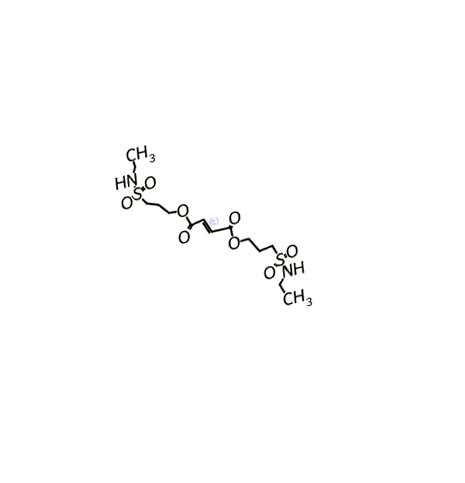 CCNS(=O)(=O)CCCOC(=O)/C=C/C(=O)OCCCS(=O)(=O)NCC